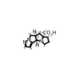 O=C(O)[C@]12CCCN1[C@H]1c3ccnn3C[C@H]1C2